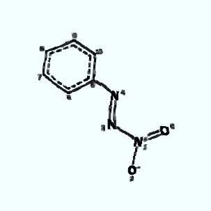 O=[N+]([O-])N=Nc1ccccc1